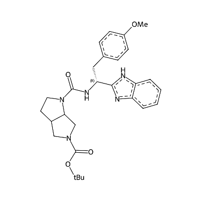 COc1ccc(C[C@@H](NC(=O)N2CCC3CN(C(=O)OC(C)(C)C)CC32)c2nc3ccccc3[nH]2)cc1